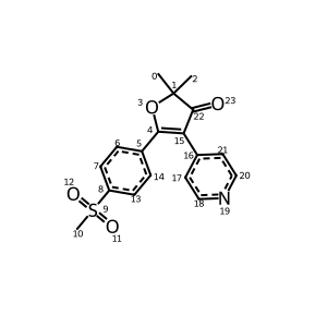 CC1(C)OC(c2ccc(S(C)(=O)=O)cc2)=C(c2ccncc2)C1=O